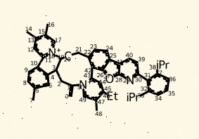 C=C1CC2c3cc(C)ccc3-c3cc(C)c(C)c[n+]3C2CCc2ccc3c(oc4nc(-c5c(C(C)C)cccc5C(C)C)ccc43)c2-c2cc(CC)c(C)c[n+]21